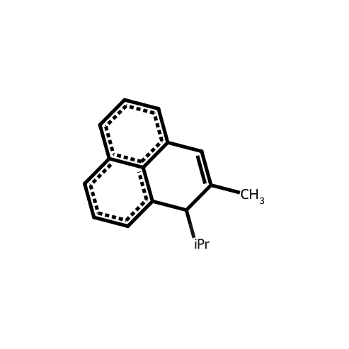 CC1=Cc2cccc3cccc(c23)C1C(C)C